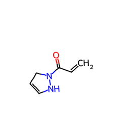 C=CC(=O)N1CC=CN1